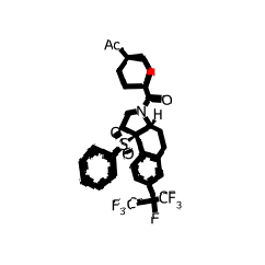 CC(=O)C12CCC(C(=O)N3CC[C@@]4(S(=O)(=O)c5ccccc5)c5ccc(C(F)(C(F)(F)F)C(F)(F)F)cc5CC[C@@H]34)(CC1)CC2